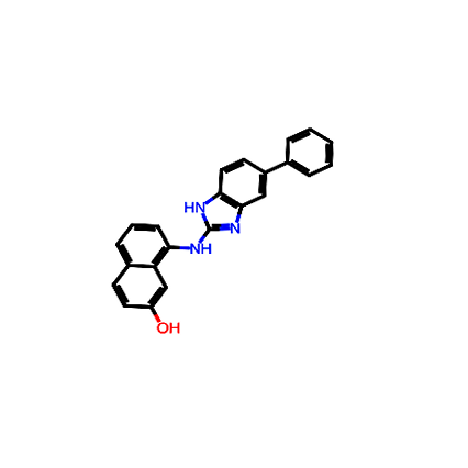 Oc1ccc2cccc(Nc3nc4cc(-c5ccccc5)ccc4[nH]3)c2c1